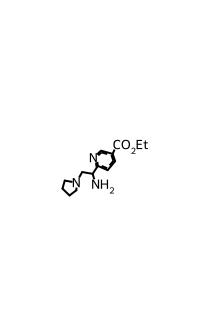 CCOC(=O)c1ccc(C(N)CN2CCCC2)nc1